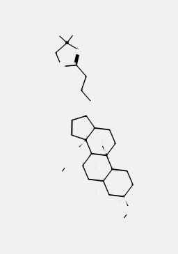 CC1(C)COC(CCC[C@H]2CC[C@H]3[C@@H]4[C@@H](OC=O)C[C@@H]5C[C@H](OC=O)CC[C@]5(C)[C@H]4CC[C@]23C)=N1